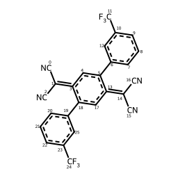 N#CC(C#N)=c1cc(-c2cccc(C(F)(F)F)c2)c(=C(C#N)C#N)cc1-c1cccc(C(F)(F)F)c1